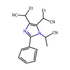 CCC(C#N)c1nc(-c2ccccc2)n(C(C)C#N)c1C(C#N)CC